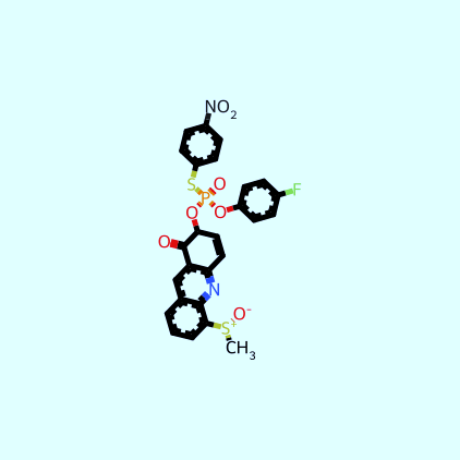 C[S+]([O-])c1cccc2cc3c(nc12)C=CC(OP(=O)(Oc1ccc(F)cc1)Sc1ccc([N+](=O)[O-])cc1)C3=O